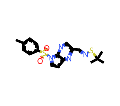 Cc1ccc(S(=O)(=O)n2ccc3nc(C=NSC(C)(C)C)cnc32)cc1